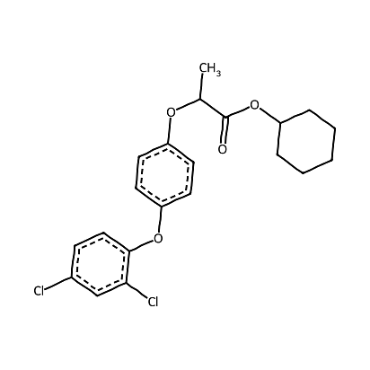 CC(Oc1ccc(Oc2ccc(Cl)cc2Cl)cc1)C(=O)OC1CCCCC1